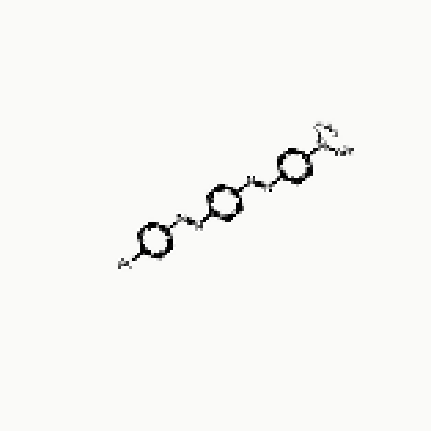 CCCN(C)c1ccc(N=Nc2ccc(N=Nc3ccc(C(C)=O)cc3)cc2)cc1